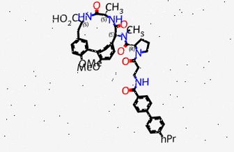 CCCc1ccc(-c2ccc(C(=O)NCCC(=O)N3CCC[C@@H]3C(=O)N(C)[C@@H]3C(=O)N[C@@H](C)C(=O)N[C@H](C(=O)O)Cc4ccc(OC)c(c4)-c4cc3ccc4OC)cc2)cc1